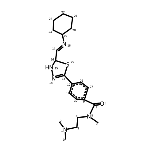 CN(C)CCN(C)C(=O)c1ccc(C2=NNC(C=NC3CCCCC3)S2)cc1